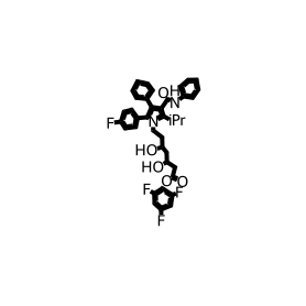 CC(C)c1c(C(=O)Nc2ccccc2)c(-c2ccccc2)c(-c2ccc(F)cc2)n1CCC(O)CC(O)CC(=O)Oc1c(F)cc(F)cc1F